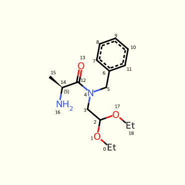 CCOC(CN(Cc1ccccc1)C(=O)[C@H](C)N)OCC